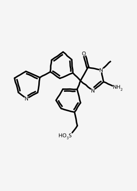 CN1C(=O)C(c2cccc(CS(=O)(=O)O)c2)(c2cccc(-c3cccnc3)c2)N=C1N